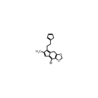 CC1=CC2=C(Br)C3=C(CC2=C1CCC1=CC=CC1)OCO3